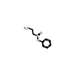 NCCS(=O)Oc1ccccc1